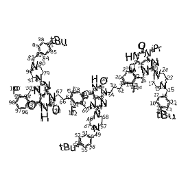 CC(C)n1c(=O)[nH]c(=O)c2c1nc(N1CCN(Cc3ccc(C(C)(C)C)cc3)CC1)n2Cc1cccc(CCCn2c(=O)[nH]c(=O)c3c2nc(N2CCN(Cc4ccc(C(C)(C)C)cc4)CC2)n3Cc2cccc(CCn3c(=O)[nH]c(=O)c4c3nc(N3CCN(Cc5ccc(C(C)(C)C)cc5)CC3)n4Cc3ccccc3F)c2F)c1F